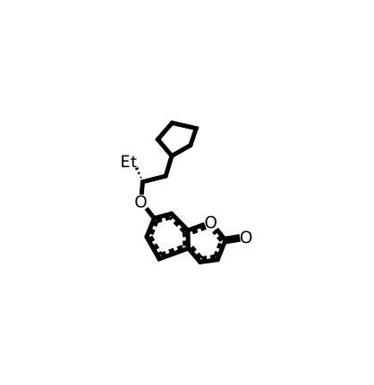 CC[C@H](CC1CCCC1)Oc1ccc2ccc(=O)oc2c1